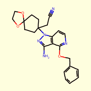 N#CCC1(n2nc(N)c3c(OCc4ccccc4)nccc32)CCC2(CC1)OCCO2